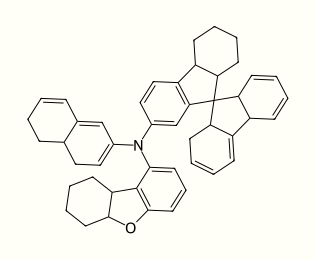 C1=CCC2C(=C1)C1C=CC=CC1C21c2cc(N(C3=CCC4CCC=CC4=C3)c3cccc4c3C3CCCCC3O4)ccc2C2CCCCC21